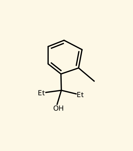 CCC(O)(CC)c1ccccc1C